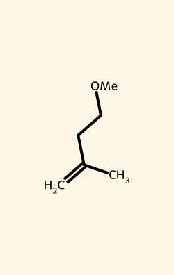 [CH2]OCCC(=C)C